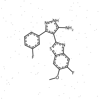 COc1cc2sc(-c3c(-c4cccc(F)c4)n[nH]c3N)nc2cc1F